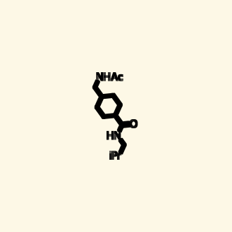 CC(=O)NCC1CCC(C(=O)NCC(C)C)CC1